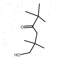 CC(C)(CO)CC(=O)C(C)(C)C